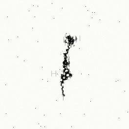 CC(C)(CCCCCCCl)c1cc(O)c2c(c1)OC(C)(C)c1ccc(Cn3cc(COC(=O)CCCC[C@@H]4SC[C@@H]5NC(=O)N[C@@H]54)nn3)cc1-2